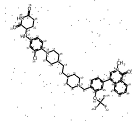 Cn1cc(-c2ccc(CN3CCC(CCC4CCN(c5ccc(NC6CCC(=O)NC6=O)cc5Cl)CC4)CC3)c(OC(F)(F)F)c2)c2ccccc2c1=O